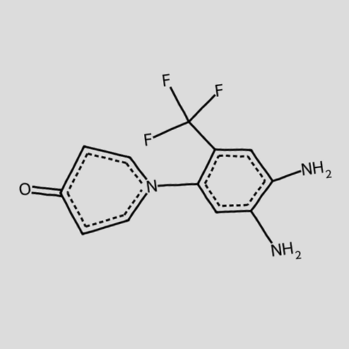 Nc1cc(-n2ccc(=O)cc2)c(C(F)(F)F)cc1N